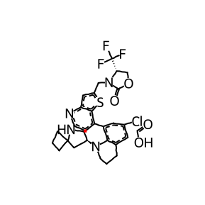 O=C1OC[C@@H](C(F)(F)F)N1Cc1cc2nccc(-c3cc(Cl)cc4c3N([C@@H]3CNC5(CCC5)C3)CCC4)c2s1.O=CO